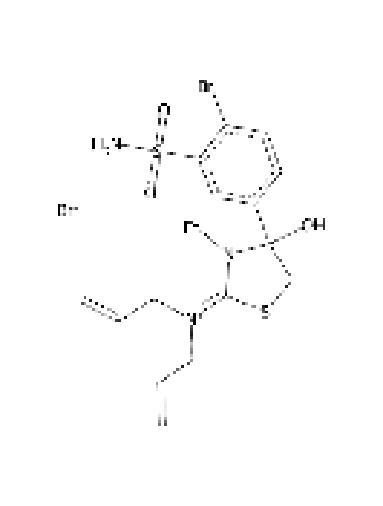 C=CC[N+](CC=C)=C1SCC(O)(c2ccc(Br)c(S(N)(=O)=O)c2)N1CC.[Br-]